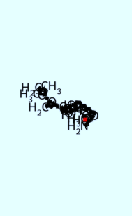 C=C1CC(CC[C@@]23C[C@H]4OC5C(O2)[C@H]2OC(CC(=O)CC6COC(CC(O)CN)[C@@H]6OC)CCC2O[C@H]5C4O3)O[C@H]1CC[C@H]1C[C@@H](C)C(=C)[C@@H](C)O1